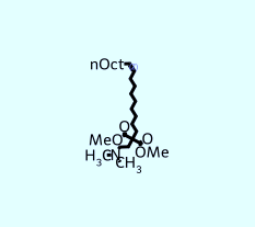 CCCCCCCC/C=C\CCCCCCCCC(CCN(C)C)(C(=O)OC)C(=O)OC